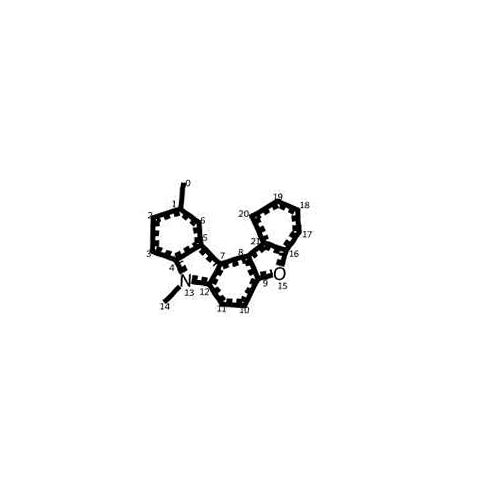 Cc1ccc2c(c1)c1c3c(ccc1n2C)oc1ccccc13